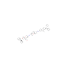 CCC1(CC)c2cc(/C=C/c3ccc4c(c3)C(C)(C)c3cc(/C=C/c5ccc6c(c5)C(CC)(CC)c5cc(N(c7ccccc7C)c7ccccc7C)ccc5-6)ccc3-4)ccc2-c2ccc(N(c3ccccc3C)c3ccccc3C)cc21